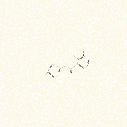 Cc1ccc(NC(=O)c2cccc([N+](=O)[O-])c2C)nc1